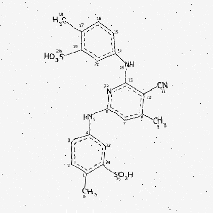 Cc1ccc(Nc2cc(C)c(C#N)c(Nc3ccc(C)c(S(=O)(=O)O)c3)n2)cc1S(=O)(=O)O